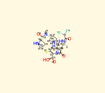 C[C@@H](NC(=O)C(F)F)[C@H]1C(=O)N2C(C(=O)O)=C(S[C@@H]3CN[C@H](C(=O)N(C)[C@@H]4CCNC4)C3)[C@H](C)[C@@H]12